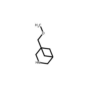 COCC12CNCC(C1)C2